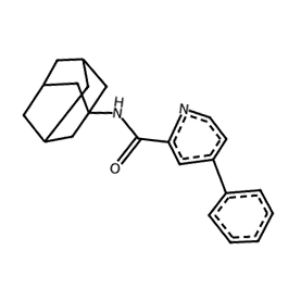 O=C(NC12CC3CC(CC(C3)C1)C2)c1cc(-c2ccccc2)ccn1